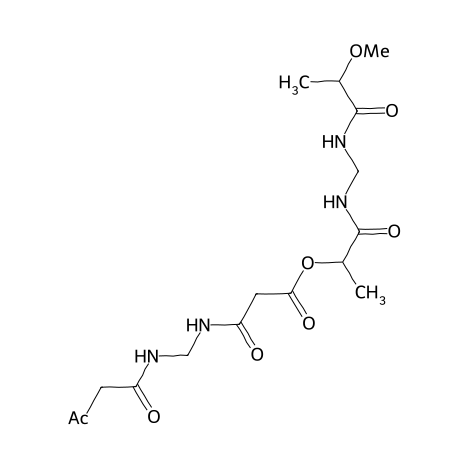 COC(C)C(=O)NCNC(=O)C(C)OC(=O)CC(=O)NCNC(=O)CC(C)=O